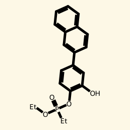 CCOP(=O)(CC)Oc1ccc(-c2ccc3ccccc3c2)cc1O